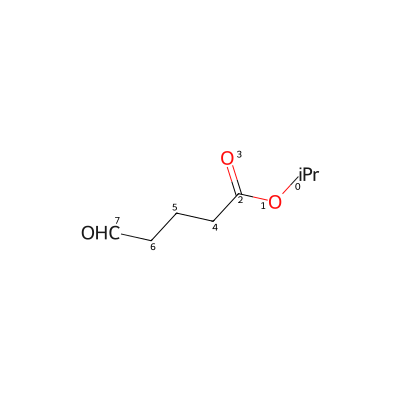 CC(C)OC(=O)CCCC=O